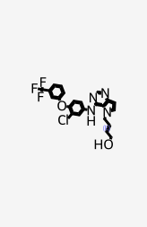 OC/C=C/Cn1ccc2ncnc(Nc3ccc(Oc4cccc(C(F)(F)F)c4)c(Cl)c3)c21